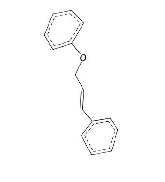 [c]1ccccc1OC/C=C/c1ccccc1